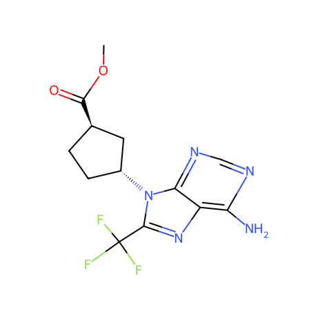 COC(=O)[C@@H]1CC[C@@H](n2c(C(F)(F)F)nc3c(N)ncnc32)C1